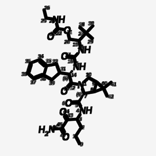 CCCC(NC(=O)[C@@H]1C2C(CN1C(=O)[C@@H](NC(=O)NC(COC(=O)NCC)C(C)(C)C)C1Cc3ccccc3C1)C2(C)C)C(=O)C(N)=O